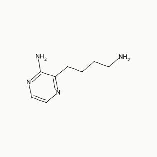 NCCCCc1nccnc1N